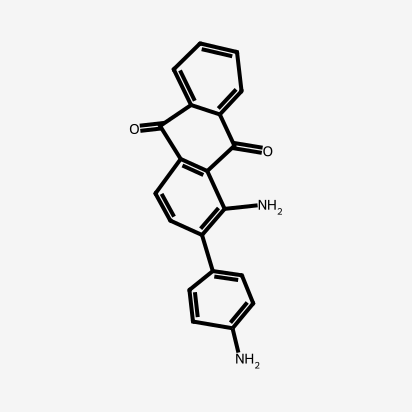 Nc1ccc(-c2ccc3c(c2N)C(=O)c2ccccc2C3=O)cc1